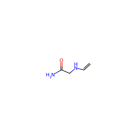 C=CNCC(N)=O